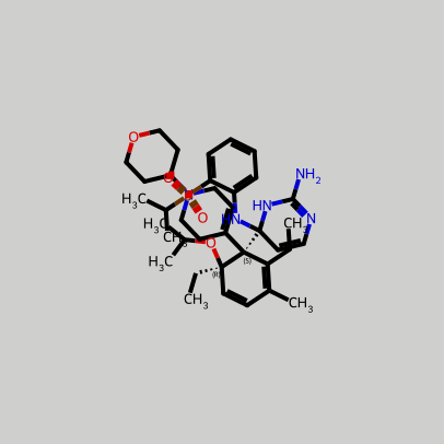 CCC1=C(C)C=C[C@@](CC)(OC(C)C)[C@]1(C1=CCN(C2CCOCC2)CC1)C1(Nc2ccccc2S(=O)(=O)C(C)C)C=CN=C(N)N1